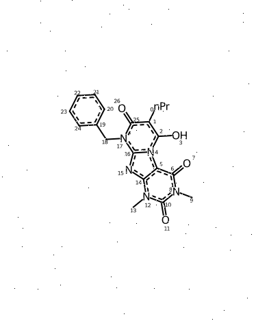 CCCc1c(O)n2c3c(=O)n(C)c(=O)n(C)c3nc2n(Cc2ccccc2)c1=O